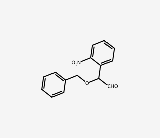 O=CC(OCc1ccccc1)c1ccccc1[N+](=O)[O-]